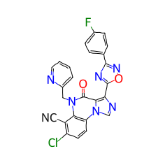 N#Cc1c(Cl)ccc2c1n(Cc1ccccn1)c(=O)c1c(-c3nc(-c4ccc(F)cc4)no3)ncn12